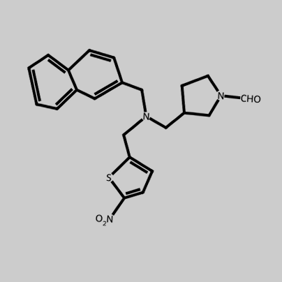 O=CN1CCC(CN(Cc2ccc3ccccc3c2)Cc2ccc([N+](=O)[O-])s2)C1